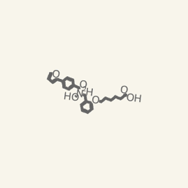 [2H]C(c1ccccc1OCCCCCC(=O)O)N(O)C(=O)c1ccc(-c2ccco2)cc1